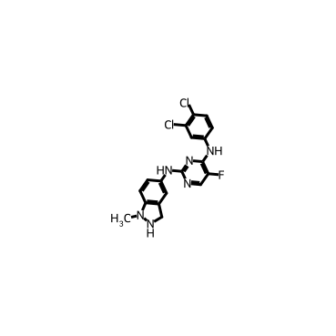 CN1NCc2cc(Nc3ncc(F)c(Nc4ccc(Cl)c(Cl)c4)n3)ccc21